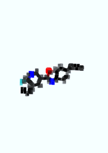 COc1ccc2nc(-c3cnc(F)c(C)c3)oc2c1